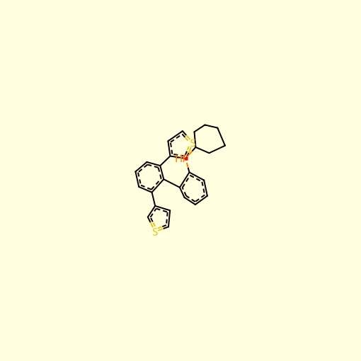 c1ccc(-c2c(-c3ccsc3)cccc2-c2ccsc2)c(PC2CCCCC2)c1